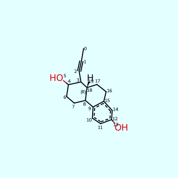 CC#CC1C(O)CCC2c3ccc(O)cc3CC[C@H]21